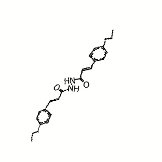 CCCc1ccc(/C=C/C(=O)NNC(=O)/C=C/c2ccc(CCC)cc2)cc1